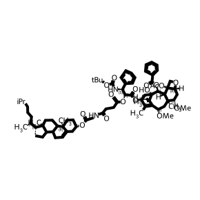 CO[C@H]1C[C@]2(C)[C@@H](OC)C[C@H]3OC[C@@]3(OC(C)=O)[C@H]2[C@H](OC(=O)c2ccccc2)[C@]2(O)C[C@H](OC(=O)[C@H](OC(=O)CCC(=O)NCC(=O)O[C@H]3CC[C@@]4(C)C(=CCC5C4CC[C@@]4(C)C5CC[C@@H]4[C@H](C)CCCC(C)C)C3)[C@@H](NC(=O)OC(C)(C)C)c3ccccc3)C(C)=C1C2(C)C